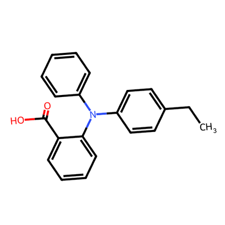 CCc1ccc(N(c2ccccc2)c2ccccc2C(=O)O)cc1